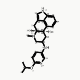 CC(C)Oc1ccc(NC2C[C@@H]3c4cccc5[nH]cc(c45)C[C@H]3N(C)C2)cn1